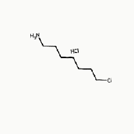 Cl.NCCCCCCCCl